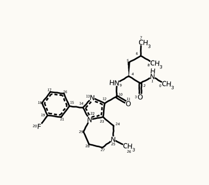 CNC(=O)[C@H](CC(C)C)NC(=O)c1nc(-c2cccc(F)c2)n2c1CN(C)CCC2